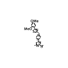 COc1ccc(-c2nc(CN3CCN(c4cc(C)nc(N(C)C)n4)CC3)cs2)c(OC)c1